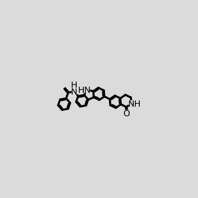 C=C(Nc1cccc2c1[nH]c1ccc(-c3ccc4c(c3)CCNC4=O)cc12)c1ccccc1